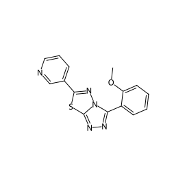 COc1ccccc1-c1nnc2sc(-c3cccnc3)nn12